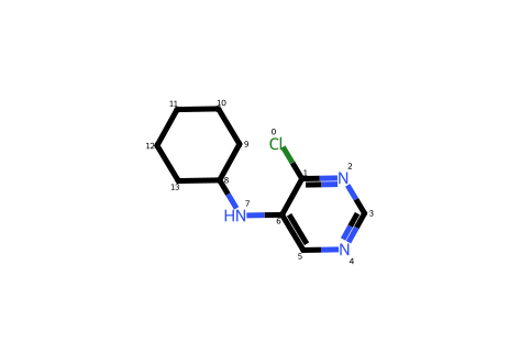 Clc1ncncc1NC1CCCCC1